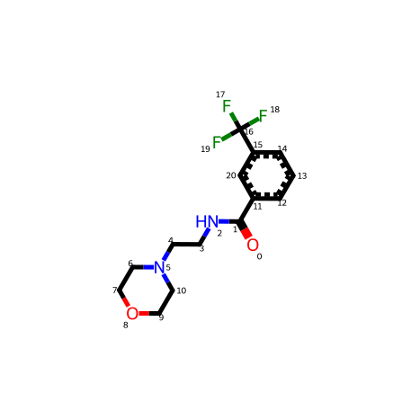 O=C(NCCN1CCOCC1)c1cccc(C(F)(F)F)c1